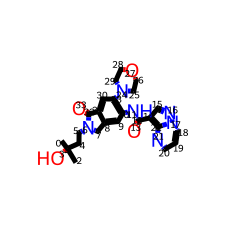 CC(C)(O)CCN1Cc2cc(NC(=O)c3cnn4cccnc34)c(N3CCOCC3)cc2C1=O